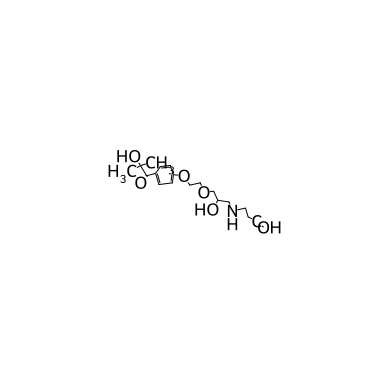 CC(C)(O)C(=O)c1ccc(OCCOCC(O)CNCCCO)cc1